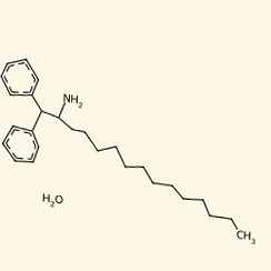 CCCCCCCCCCCCCC(N)C(c1ccccc1)c1ccccc1.O